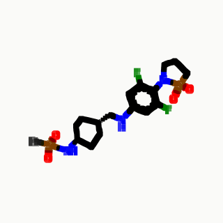 CCS(=O)(=O)N[C@H]1CC[C@H](CNc2cc(F)c(N3CCCS3(=O)=O)c(F)c2)CC1